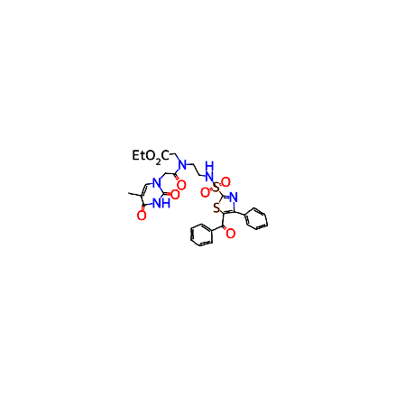 CCOC(=O)CN(CCNS(=O)(=O)c1nc(-c2ccccc2)c(C(=O)c2ccccc2)s1)C(=O)Cn1cc(C)c(=O)[nH]c1=O